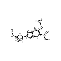 COC(=O)c1cc2cn(C34COC(CF)(C3)C4)nc2nc1OC1CC1